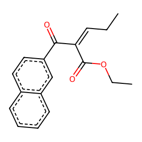 CCC=C(C(=O)OCC)C(=O)c1ccc2ccccc2c1